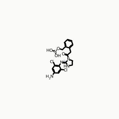 Nc1cc(Cl)c(/N=C2\NCCN2C(=O)Cc2ccccc2CON(O)O)c(Cl)c1